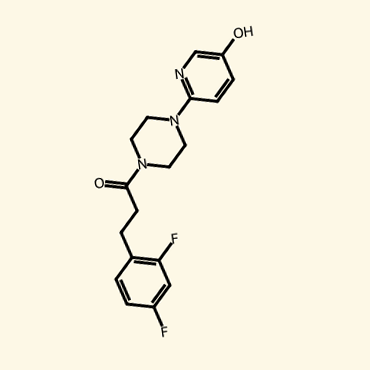 O=C(CCc1ccc(F)cc1F)N1CCN(c2ccc(O)cn2)CC1